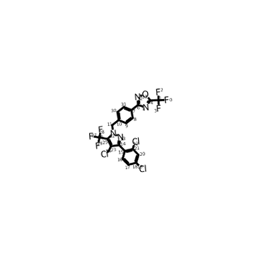 FC(F)(F)c1nc(-c2ccc(Cn3nc(-c4ccc(Cl)cc4Cl)c(Cl)c3C(F)(F)F)cc2)no1